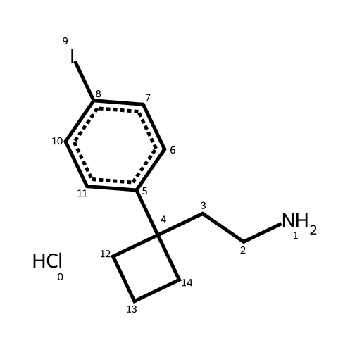 Cl.NCCC1(c2ccc(I)cc2)CCC1